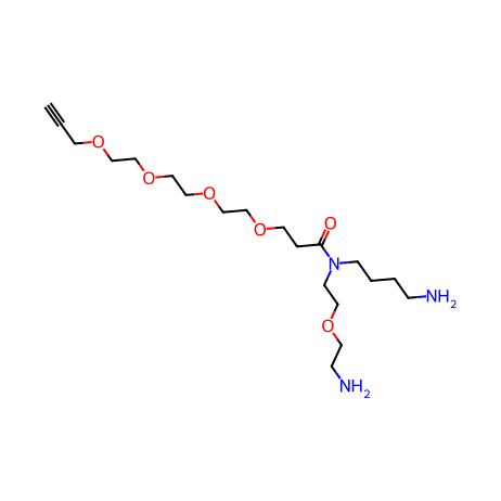 C#CCOCCOCCOCCOCCC(=O)N(CCCCN)CCOCCN